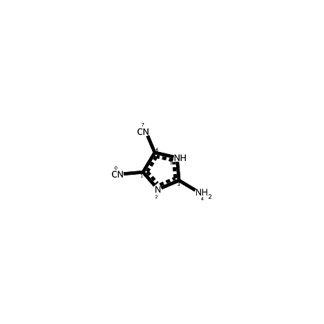 [C-]#[N+]c1nc(N)[nH]c1[N+]#[C-]